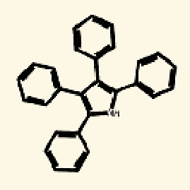 c1ccc(-c2[nH]c(-c3ccccc3)c(-c3ccccc3)c2-c2ccccc2)cc1